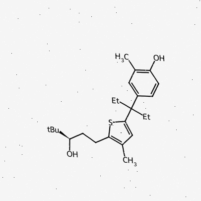 CCC(CC)(c1ccc(O)c(C)c1)c1cc(C)c(CC[C@@H](O)C(C)(C)C)s1